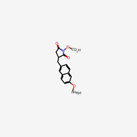 CCCCCCCOc1ccc2cc(CC3CC(=O)N(OC(=O)O)C3=O)ccc2c1